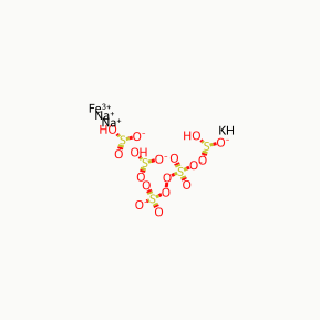 O=S(=O)([O-])OOS(=O)(=O)[O-].O=S([O-])O.O=S([O-])O.O=S([O-])O.[Fe+3].[KH].[Na+].[Na+]